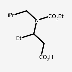 CCOC(=O)N(CC(C)C)C(CC)CC(=O)O